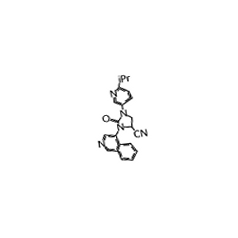 CC(C)c1ccc(N2CC(C#N)N(c3cncc4ccccc34)C2=O)cn1